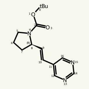 CC(C)(C)OC(=O)N1CCC[C@@H]1C=Cc1cncnc1